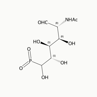 CC(=O)N[C@@H](C=O)[C@@H](O)[C@H](O)[C@H](O)C(O)P(=O)=O